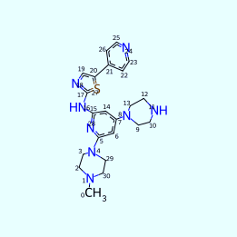 CN1CCN(c2cc(N3CCNCC3)cc(Nc3ncc(-c4ccncc4)s3)n2)CC1